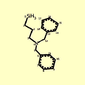 [SiH3]CCCN(Cc1ccccc1)Cc1ccccc1